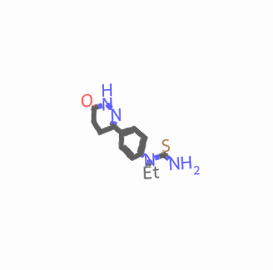 CCN(C(N)=S)c1ccc(C2=NNC(=O)CC2)cc1